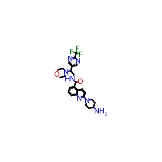 NC1CCN(c2ccc3c(C(=O)NCC(c4cnc(C(F)(F)F)nc4)N4CCOCC4)cccc3n2)CC1